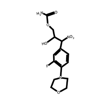 NC(=O)OCC(O)C(c1ccc(N2CCOCC2)c(F)c1)[N+](=O)[O-]